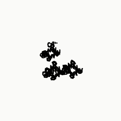 O=S(=O)([O-])c1cccc2c3nc4nc(nc5[nH]c(nc6nc(nc([nH]3)c12)-c1ccccc1-6)c1ccccc51)-c1ccccc1-4.O=S(=O)([O-])c1cccc2c3nc4nc(nc5[nH]c(nc6nc(nc([nH]3)c12)-c1ccccc1-6)c1ccccc51)-c1ccccc1-4.O=S(=O)([O-])c1cccc2c3nc4nc(nc5[nH]c(nc6nc(nc([nH]3)c12)-c1ccccc1-6)c1ccccc51)-c1ccccc1-4.[Cr+3]